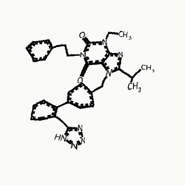 CCn1c(=O)n(CCc2ccccc2)c(=O)c2c1nc(C(C)C)n2Cc1ccc(-c2ccccc2-c2nnn[nH]2)cc1